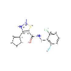 O=C(NCc1c(F)cccc1Cl)C1=C(C2CCCC2)NNS1